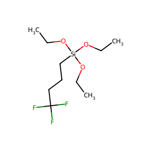 CCO[Si](CCCC(F)(F)F)(OCC)OCC